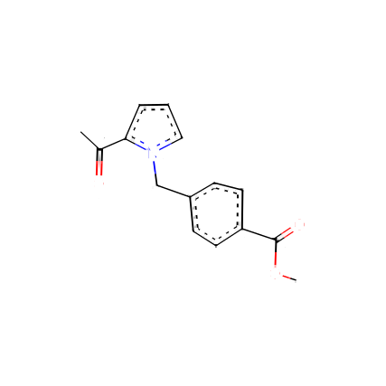 COC(=O)c1ccc(Cn2cccc2C(C)=O)cc1